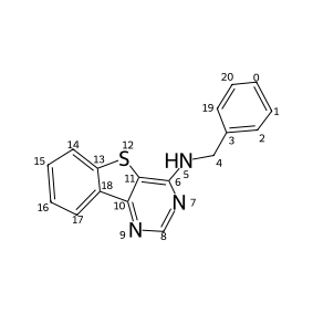 c1ccc(CNc2ncnc3c2sc2ccccc23)cc1